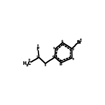 CC(F)Cc1ccc(Br)cc1